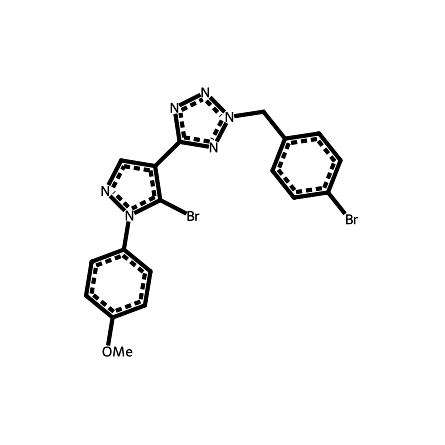 COc1ccc(-n2ncc(-c3nnn(Cc4ccc(Br)cc4)n3)c2Br)cc1